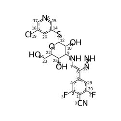 N#Cc1c(F)cc(/C(=C/NC2C(O)[C@@H](Sc3cncc(Cl)c3)OC(CO)[C@@H]2O)N=N)cc1F